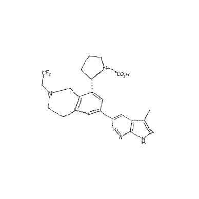 Cc1c[nH]c2ncc(-c3cc4c(c([C@@H]5CCCN5C(=O)O)c3)CN(CC(F)(F)F)CC4)cc12